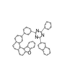 c1ccc(-c2nc(-c3cccc(-c4ccc5ccc6ccc7oc8ccccc8c7c6c5c4)c3)nc(-c3ccc4ccccc4c3)n2)cc1